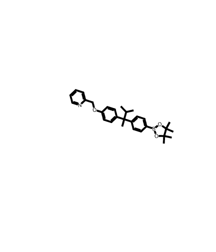 CC(C)C(C)(c1ccc(OCc2ccccn2)cc1)c1ccc(B2OC(C)(C)C(C)(C)O2)cc1